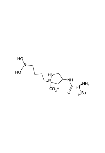 CC[C@H](C)[C@H](N)C(=O)NC1CN[C@@](CCCCB(O)O)(C(=O)O)C1